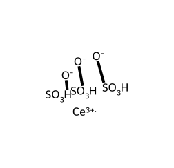 O=S(=O)([O-])O.O=S(=O)([O-])O.O=S(=O)([O-])O.[Ce+3]